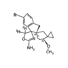 [2H]C1([2H])OC(N)=NC12c1cc(Br)ccc1C[C@@]21CC[C@H](OC)C2(CC2)C1